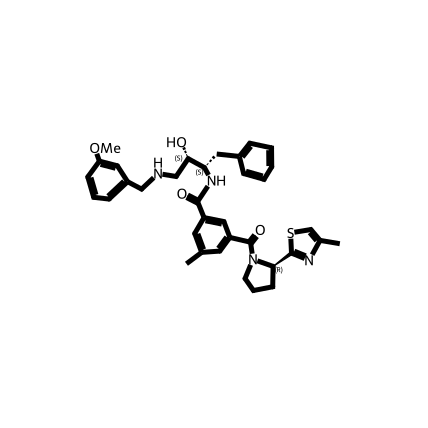 COc1cccc(CNC[C@H](O)[C@H](Cc2ccccc2)NC(=O)c2cc(C)cc(C(=O)N3CCC[C@@H]3c3nc(C)cs3)c2)c1